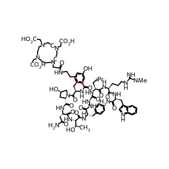 CNC(=N)NCCC[C@H](NC(=O)[C@H](CC(C)C)NC(=O)NNC(=O)[C@H](Cc1ccccc1)NC(=O)[C@@H](NC(=O)[C@H](CC(N)=O)NC(=O)[C@@H]1C[C@@H](O)CN1C(=O)[C@@H](Cc1ccc(O)cc1)NC(=O)CCCCCNC(=O)CN1CCN(CC(=O)O)CCN(CC(=O)O)CCN(CC(=O)O)CC1)[C@@H](C)O)C(=O)N[C@@H](Cc1c[nH]c2ccccc12)C(N)=O